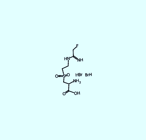 Br.Br.N=C(CF)NCCS(=O)(=O)CC(N)C(=O)O